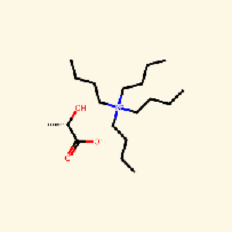 CCCC[N+](CCCC)(CCCC)CCCC.C[C@H](O)C(=O)[O-]